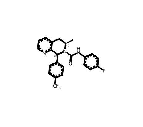 C[C@@H]1Cc2cccnc2[C@H](c2ccc(C(F)(F)F)cc2)N1C(=O)Nc1ccc(F)cc1